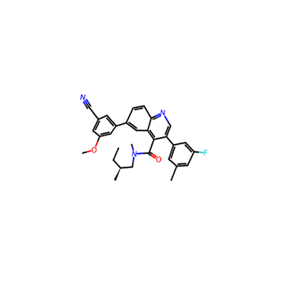 CC[C@H](C)CN(C)C(=O)c1c(-c2cc(C)cc(F)c2)cnc2ccc(-c3cc(C#N)cc(OC)c3)cc12